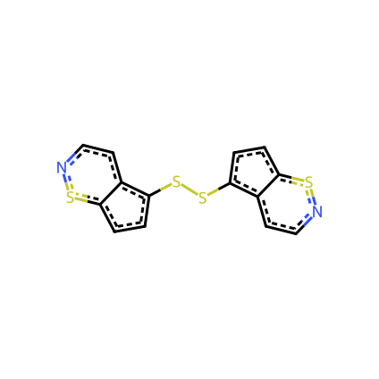 c1cc2c(SSc3ccc4snccc3-4)ccc-2sn1